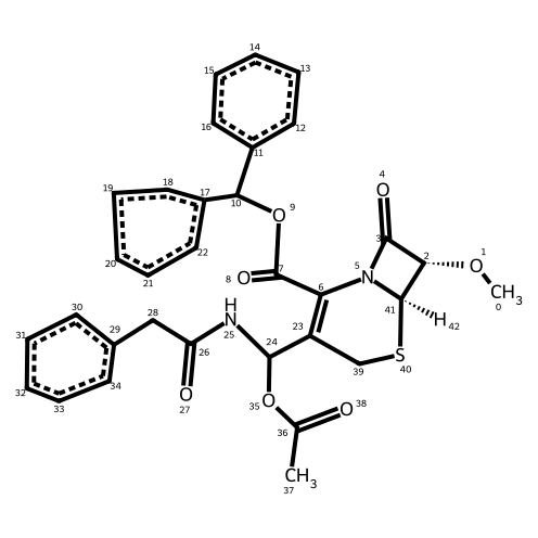 CO[C@H]1C(=O)N2C(C(=O)OC(c3ccccc3)c3ccccc3)=C(C(NC(=O)Cc3ccccc3)OC(C)=O)CS[C@H]12